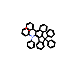 c1ccc(-c2c(N(c3ccccc3)c3ccccc3)c3c(c4ccccc24)C(c2ccccc2)(c2ccccc2)c2ccccc2-3)cc1